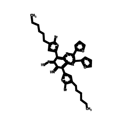 CCCCCCc1cc(C2=c3nc(-c4ccco4)c(-c4ccco4)nc3=C(c3cc(CCCCCC)c(Br)s3)/C(=N/S)C2=N)sc1Br